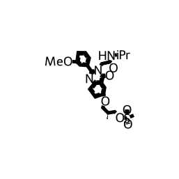 COc1cccc(-c2nc3ccc(OC[C@@H](C)COS(C)(=O)=O)cc3c(=O)n2CC(=O)NC(C)C)c1